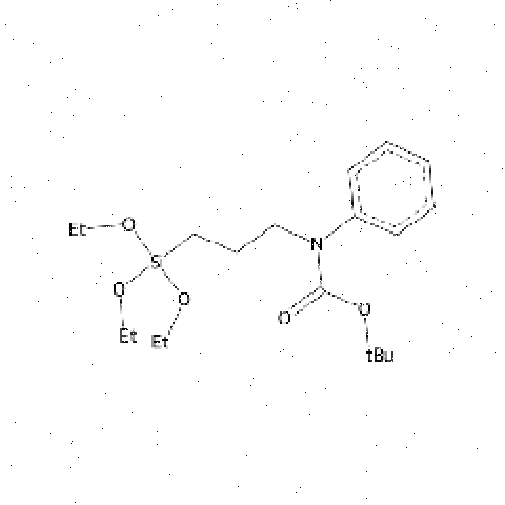 CCO[Si](CCCN(C(=O)OC(C)(C)C)c1ccccc1)(OCC)OCC